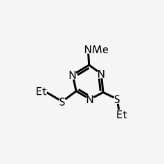 CCSc1nc(NC)nc(SCC)n1